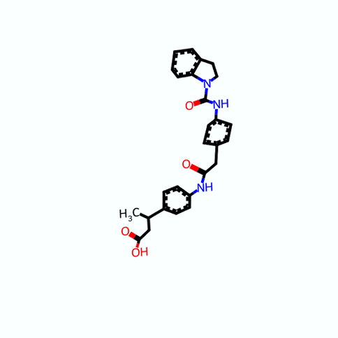 CC(CC(=O)O)c1ccc(NC(=O)Cc2ccc(NC(=O)N3CCc4ccccc43)cc2)cc1